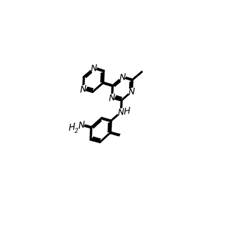 Cc1nc(Nc2cc(N)ccc2C)nc(-c2cncnc2)n1